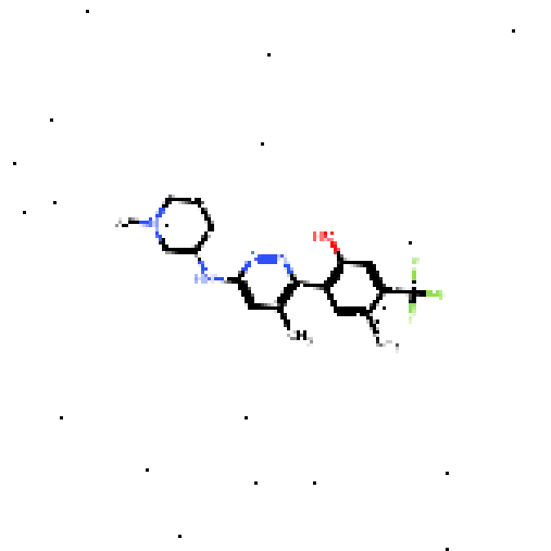 Cc1cc(-c2nnc(N[C@@H]3CCCN(C)C3)cc2C)c(O)cc1C(F)(F)F